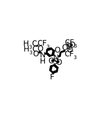 CC(C)(OC(=O)Nc1ccc2c(c1)N(S(=O)(=O)c1ccc(F)cc1)CC(C(OS(=O)(=O)C(F)(F)F)C(F)(F)F)O2)C(F)(F)F